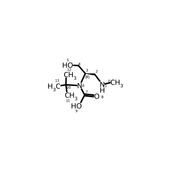 CNC[C@H](CO)N(C(=O)O)C(C)(C)C